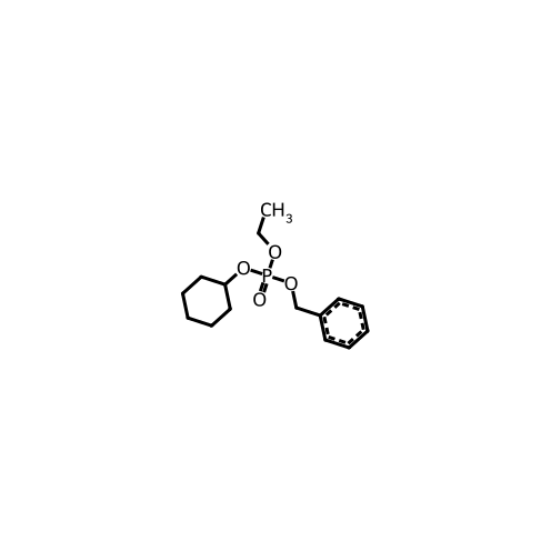 CCOP(=O)(OCc1ccccc1)OC1CCCCC1